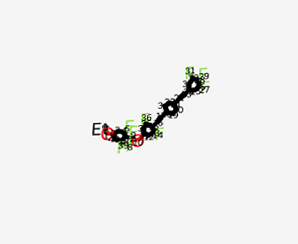 CCOc1cc(F)c(C(F)(F)Oc2cc(F)c(C#Cc3ccc(C#Cc4cc(F)c(F)c(F)c4)cc3)c(F)c2)c(F)c1